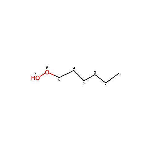 CCCCCCOO